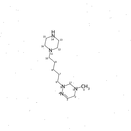 CN1CC=NN(CCCCCN2CCNCC2)C1